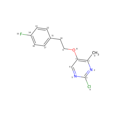 Cc1nc(Cl)ncc1OCCc1ccc(F)cc1